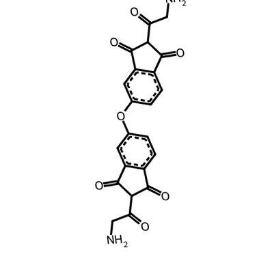 NCC(=O)C1C(=O)c2ccc(Oc3ccc4c(c3)C(=O)C(C(=O)CN)C4=O)cc2C1=O